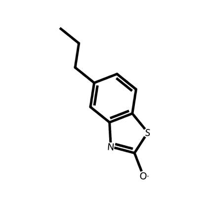 CCCc1ccc2sc([O])nc2c1